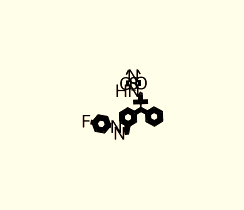 CN(C)S(=O)(=O)NCC(C)(C)[C@@H](c1ccccc1)c1ccc2c(cnn2-c2ccc(F)cc2)c1